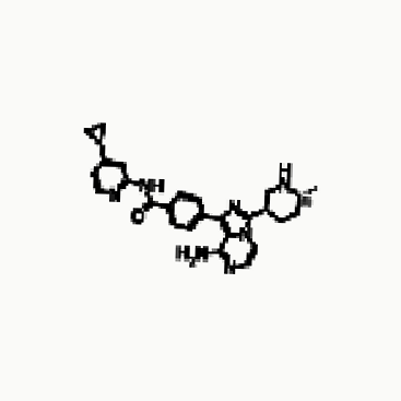 C[C@@H]1CCC(c2nc(-c3ccc(C(=O)Nc4cc(C5CC5)ccn4)cc3)c3c(N)nccn23)CN1